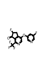 O=C1c2c(C(F)(F)F)ncc(Oc3cncc(F)c3)c2CC1F